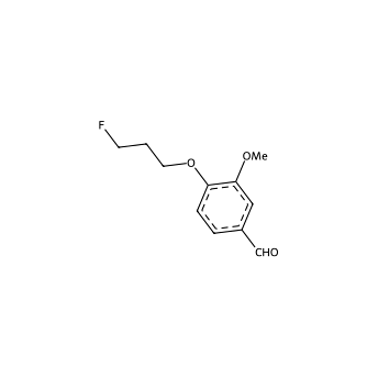 COc1cc(C=O)ccc1OCCCF